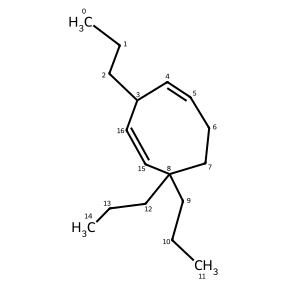 CCCC1/C=C\CCC(CCC)(CCC)/C=C\1